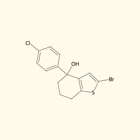 OC1(c2ccc(Cl)cc2)CCCc2sc(Br)cc21